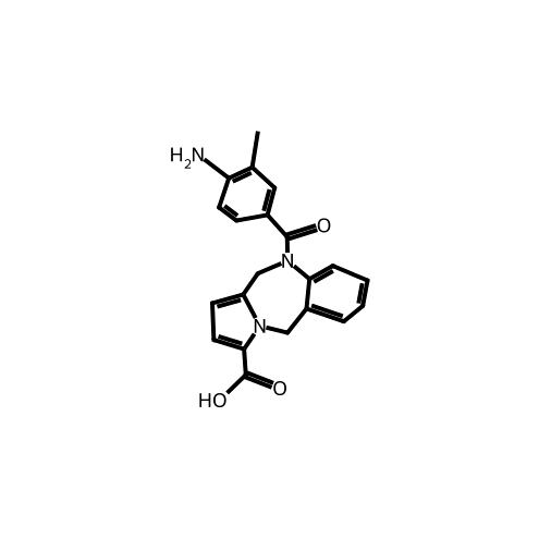 Cc1cc(C(=O)N2Cc3ccc(C(=O)O)n3Cc3ccccc32)ccc1N